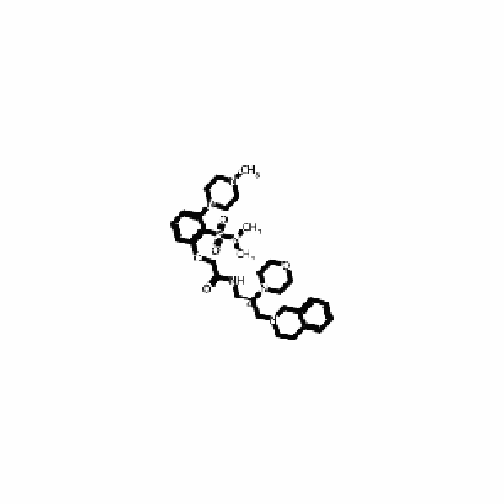 CN1CCN(c2cccc(OCC(=O)NC[C@H](CN3CCc4ccccc4C3)N3CCOCC3)c2S(=O)(=O)N(C)C)CC1